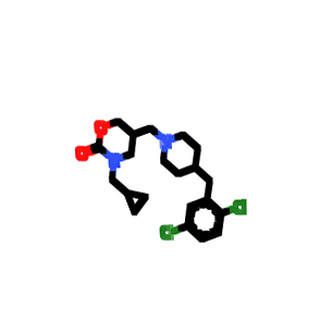 O=C1OCC(CN2CCC(Cc3cc(Cl)ccc3Cl)CC2)CN1CC1CC1